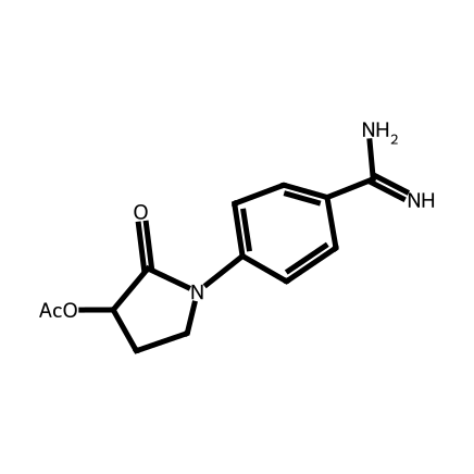 CC(=O)OC1CCN(c2ccc(C(=N)N)cc2)C1=O